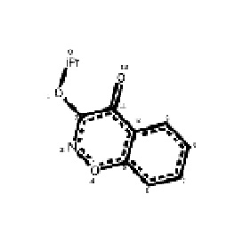 CC(C)Oc1noc2ccccc2c1=O